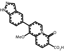 COc1c(-c2ccc3[nH]ncc3c2)ccn2c(=O)c(C(=O)O)ccc12